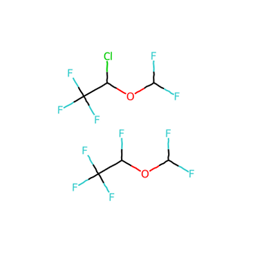 FC(F)OC(Cl)C(F)(F)F.FC(F)OC(F)C(F)(F)F